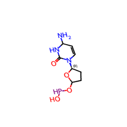 NC1C=CN([C@H]2CCC(OPO)O2)C(=O)N1